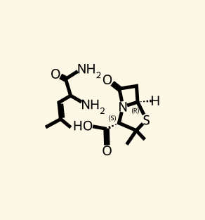 CC(C)=CC(N)C(N)=O.CC1(C)S[C@@H]2CC(=O)N2[C@H]1C(=O)O